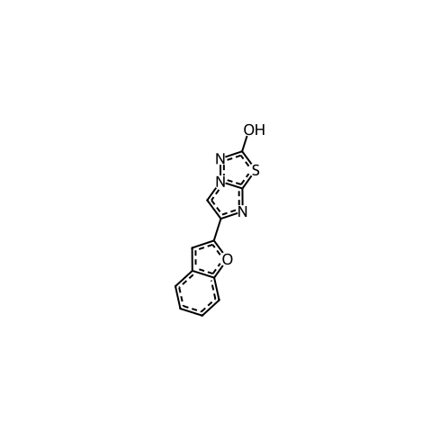 Oc1nn2cc(-c3cc4ccccc4o3)nc2s1